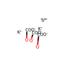 O=C([O-])[O-].O=C([O-])[O-].O=C([O-])[O-].[K+].[K+].[Ti+4]